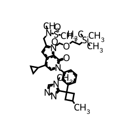 CC1CC(c2cccc(-n3cc(C4CC4)c4cc(CN(C)S(C)(=O)=O)n(COCC[Si](C)(C)C)c4c3=O)c2)(c2nncn2C)C1